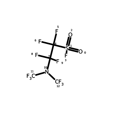 O=S(=O)(F)C(F)(F)C(F)(F)N(C(F)(F)F)C(F)(F)F